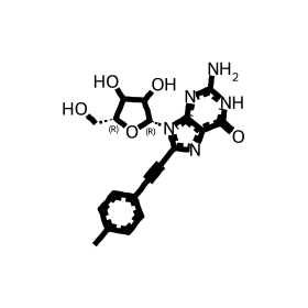 Cc1ccc(C#Cc2nc3c(=O)[nH]c(N)nc3n2[C@@H]2O[C@H](CO)C(O)C2O)cc1